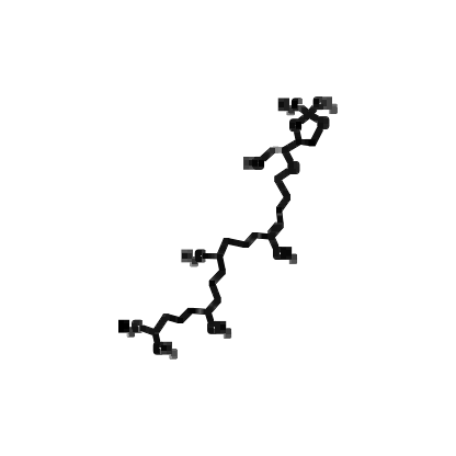 CC(=CCCCO[C@H](CO)[C@@H]1COC(C)(C)O1)CCCC(C)CCCC(C)CCCC(C)C